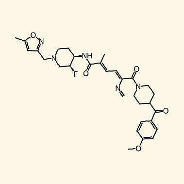 C=N/C(=C\C=C(/C)C(=O)N[C@@H]1CCN(Cc2cc(C)on2)C[C@@H]1F)C(=O)N1CCC(C(=O)c2ccc(OC)cc2)CC1